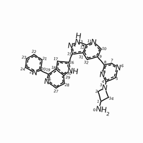 NC1CN(c2cncc(-c3cnc4[nH]nc(-c5cc6c(-c7ccccn7)nccc6[nH]5)c4c3)n2)C1